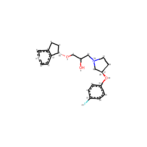 OC(CO[C@H]1CCc2ccccc21)CN1CC[C@@H](Oc2ccc(F)cc2)C1